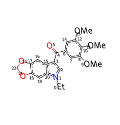 CCn1cc(C(=O)c2cc(OC)c(OC)c(OC)c2)c2cc3c(cc21)OCO3